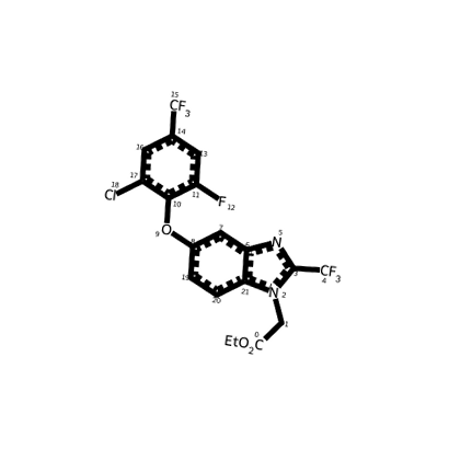 CCOC(=O)Cn1c(C(F)(F)F)nc2cc(Oc3c(F)cc(C(F)(F)F)cc3Cl)ccc21